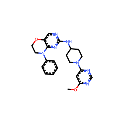 COc1cc(N2CCC(Nc3ncc4c(n3)N(c3ccccc3)CCO4)CC2)ncn1